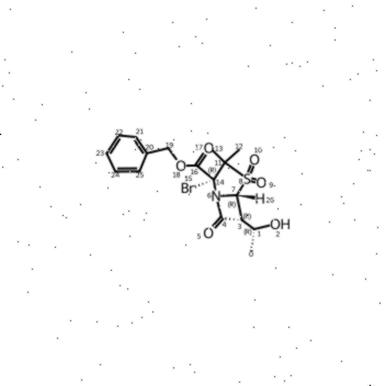 C[C@@H](O)[C@@H]1C(=O)N2[C@@H]1S(=O)(=O)C(C)(C)[C@]2(Br)C(=O)OCc1ccccc1